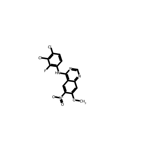 COc1cc2ncnc(Nc3ccc(Cl)c(Cl)c3F)c2cc1[N+](=O)[O-]